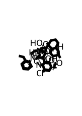 CCc1ccccc1N1CCN(CC(C)C2(C)CCC[C@H]3C=C(C)C(OC(C)=O)C([C@H]4[C@@H](C(=O)O)N[C@@H]5ON=C6C(Cl)=C[C@H](C)C=C6[C@@]54O)[C@]32O)CC1